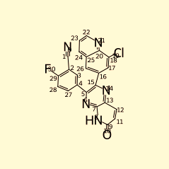 N#Cc1cc(-c2nc3[nH]c(=O)ccc3nc2-c2cc(Cl)c3ncccc3c2)ccc1F